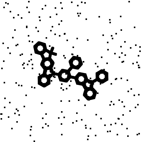 CC1(C)c2ccccc2-c2cc3c4ccccc4n(-c4ccc(-c5ccc6c(c5)c5ccccc5n6-c5ccccc5)c(-c5ccccc5)c4)c3cc21